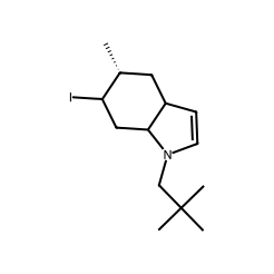 C[C@@H]1CC2C=CN(CC(C)(C)C)C2CC1I